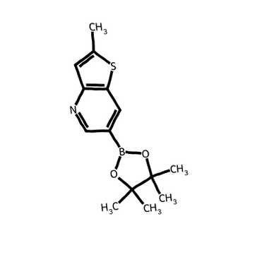 Cc1cc2ncc(B3OC(C)(C)C(C)(C)O3)cc2s1